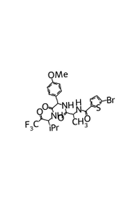 COc1ccc(C(NC(=O)C(C)NC(=O)c2ccc(Br)s2)C(=O)NC(C(=O)C(F)(F)F)C(C)C)cc1